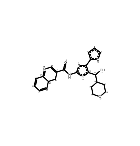 O=C(Nc1nc(-c2ccco2)c(C(O)C2CCOCC2)s1)C1=CN=C2C=CC=CC2C1